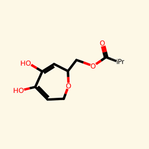 CC(C)C(=O)OCC1C=C(O)C(O)=CCO1